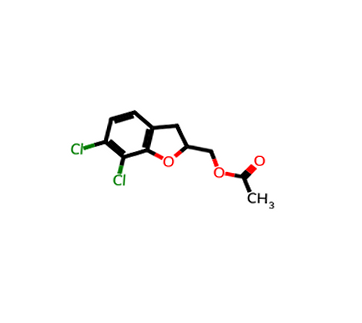 CC(=O)OCC1Cc2ccc(Cl)c(Cl)c2O1